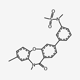 Cc1ccc2c(c1)N(C)C(=O)c1ccc(-c3cccc(N(C)S(C)(=O)=O)c3)cc1O2